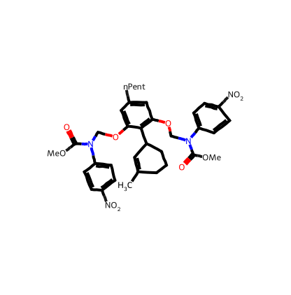 CCCCCc1cc(OCN(C(=O)OC)c2ccc([N+](=O)[O-])cc2)c(C2C=C(C)CCC2)c(OCN(C(=O)OC)c2ccc([N+](=O)[O-])cc2)c1